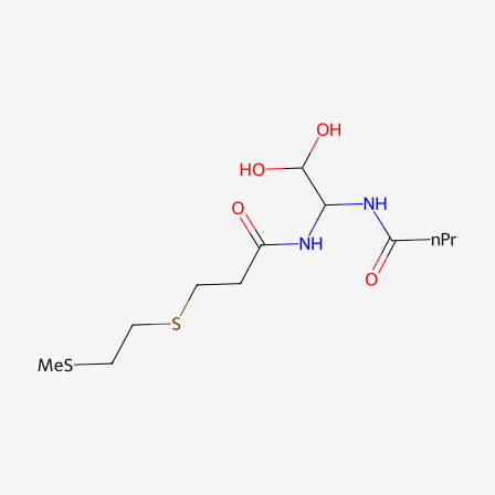 CCCC(=O)NC(NC(=O)CCSCCSC)C(O)O